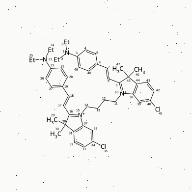 CCN(CC)c1ccc(/C=C/C2=[N+](CCCC[N+]3=C(/C=C/c4ccc(N(CC)CC)cc4)C(C)(C)c4ccc(Cl)cc43)c3cc(Cl)ccc3C2(C)C)cc1